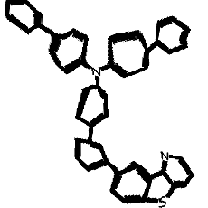 c1ccc(-c2ccc(N(c3ccc(-c4ccccc4)cc3)c3ccc(-c4cccc(-c5ccc6sc7cccnc7c6c5)c4)cc3)cc2)cc1